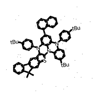 CC(C)(C)c1ccc(N2c3ccc(C(C)(C)C)cc3N3c4sc5cc6c(cc5c4N(c4ccc(C(C)(C)C)cc4)c4cc(-c5cccc7ccccc57)cc2c43)-c2ccccc2C6(C)C)cc1